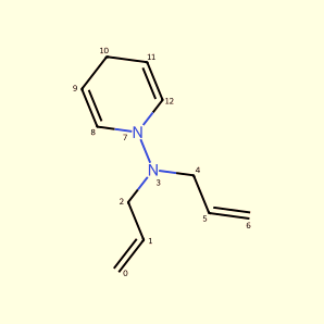 C=CCN(CC=C)N1C=CCC=C1